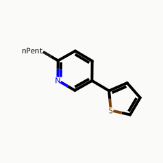 CCCCCc1ccc(-c2cccs2)cn1